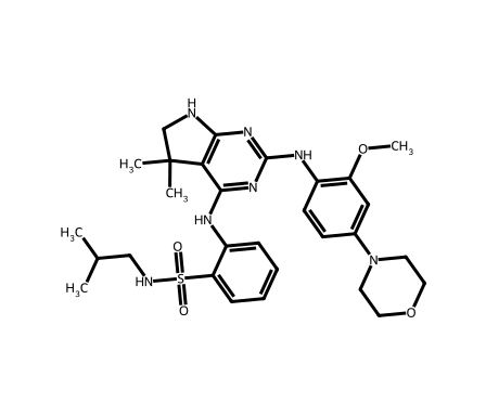 COc1cc(N2CCOCC2)ccc1Nc1nc2c(c(Nc3ccccc3S(=O)(=O)NCC(C)C)n1)C(C)(C)CN2